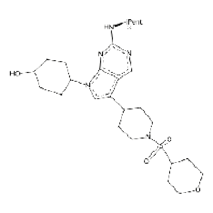 CCC[C@H](C)Nc1ncc2c(C3CCN(S(=O)(=O)C4CCOCC4)CC3)cn(C3CCC(O)CC3)c2n1